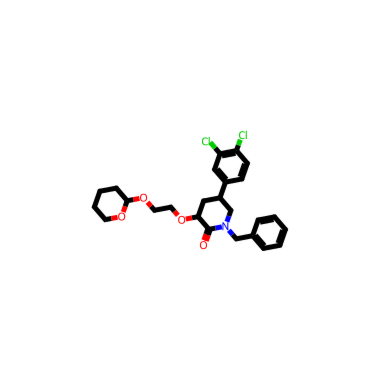 O=C1C(OCCOC2CCCCO2)CC(c2ccc(Cl)c(Cl)c2)CN1Cc1ccccc1